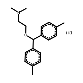 Cc1ccc(C(OCCN(C)C)c2ccc(C)cc2)cc1.Cl